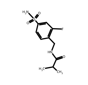 CC(C)C(=O)NCc1ccc(S(N)(=O)=O)cc1F